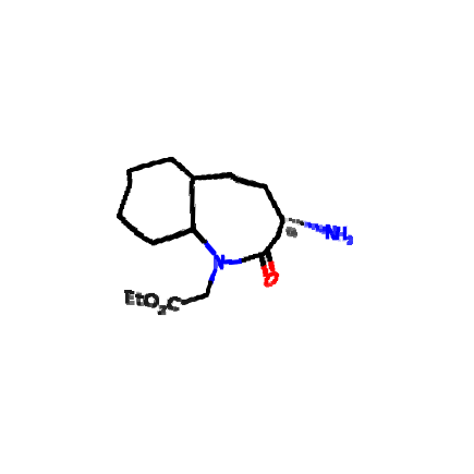 CCOC(=O)CN1C(=O)[C@@H](N)CCC2CCCCC21